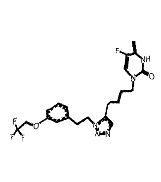 C=C1NC(=O)N(CCCCc2cnnn2CCc2cccc(OCC(F)(F)F)c2)C=C1F